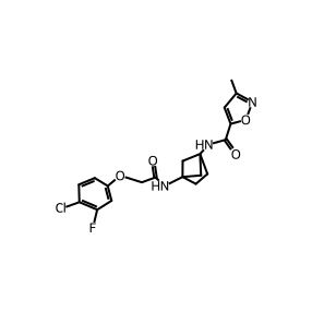 Cc1cc(C(=O)NC23CCC(NC(=O)COc4ccc(Cl)c(F)c4)(C2)C3)on1